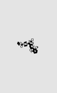 COc1cccc(F)c1-c1nc2nc(Cl)nc(N3CCN(C(=O)OC(C)(C)C)CC3)c2cc1Cl